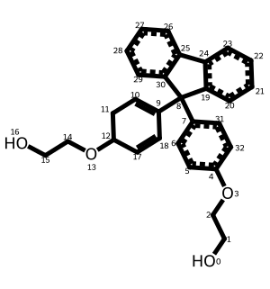 OCCOc1ccc(C2(C3=CCC(OCCO)C=C3)c3ccccc3-c3ccccc32)cc1